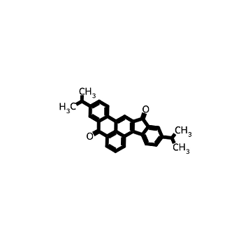 CC(C)c1ccc2c(c1)C(=O)c1cc3c4c(cccc4c1-2)C(=O)c1cc(C(C)C)ccc1-3